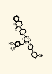 Bc1cc(C[C@@H](OC(=O)N2CCC(N3CCc4ccccc4NC3=O)CC2)C(=O)N2CCC(N3CCC[C@@H](O)C3)CC2)ccc1O